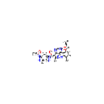 CCC(=O)N[C@H]1CC[C@@H](NC(=O)c2c(C)[nH]c3c(-c4cc(C)ccc4OCC4CC4)ncnc23)C[C@H]1C